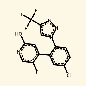 Oc1cc(-c2cc(Cl)ccc2-n2cc(C(F)(F)F)nn2)c(F)cn1